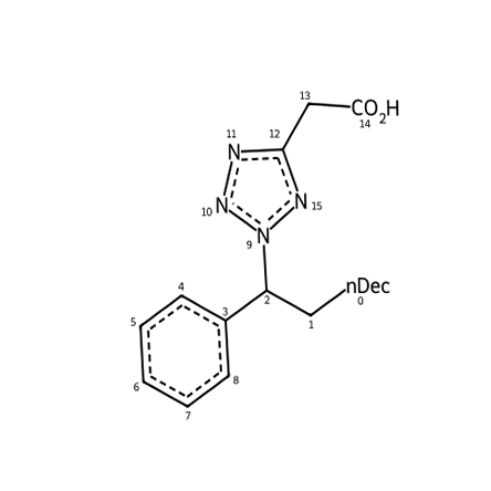 CCCCCCCCCCCC(c1ccccc1)n1nnc(CC(=O)O)n1